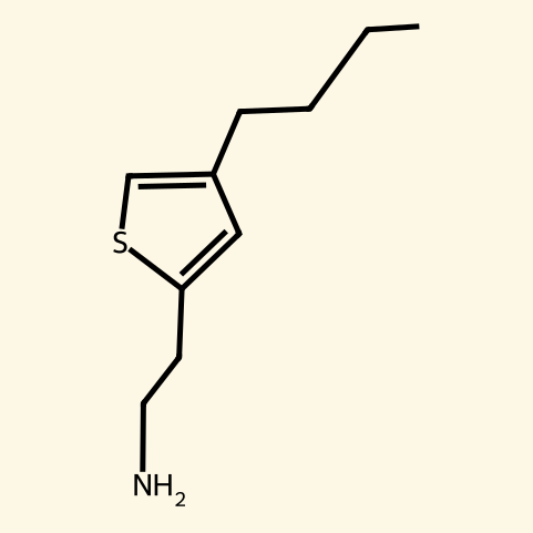 CCCCc1csc(CCN)c1